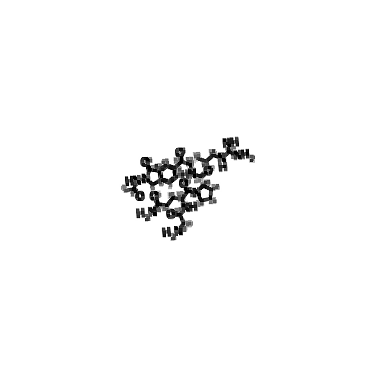 CC(=O)NN1Cc2ccc(C(=O)[C@H](CCCNC(=N)N)NC(=O)[C@@H]3CCCN3C(=O)[C@H](CCC(N)=O)NC(=O)CN)cc2C1=O